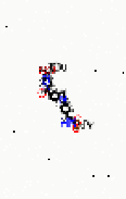 CC(C)S(=O)(=O)NC[C@H](C)c1ccc(-n2ccc3cc(C(=O)N4CCN(C(=O)OC(C)(C)C)CC4)ccc32)cc1